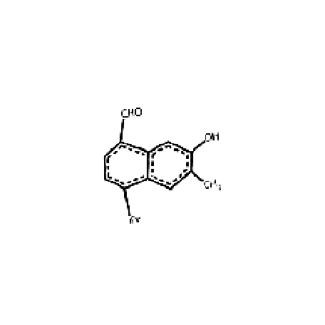 Cc1cc2c(C(C)C)ccc(C=O)c2cc1O